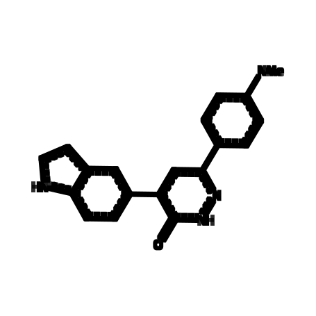 CNc1ccc(-c2cc(-c3ccc4[nH]ccc4c3)c(=O)[nH]n2)cc1